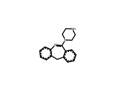 c1ccc2c(c1)Cc1ccccc1C(N1CCNCC1)=N2